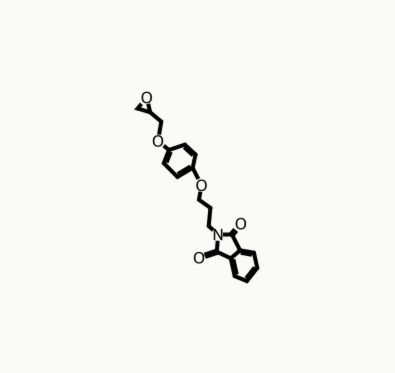 O=C1c2ccccc2C(=O)N1CCCOc1ccc(OCC2CO2)cc1